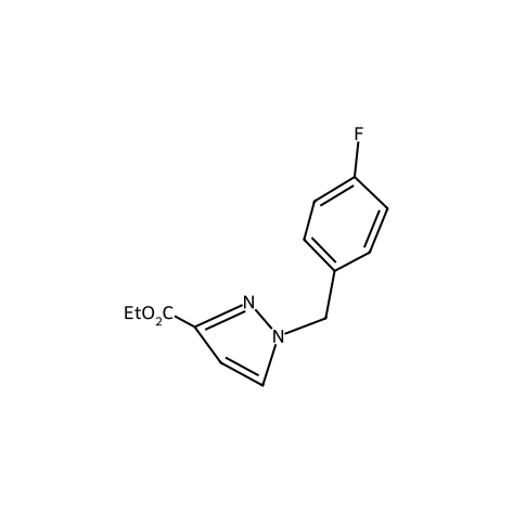 CCOC(=O)c1ccn(Cc2ccc(F)cc2)n1